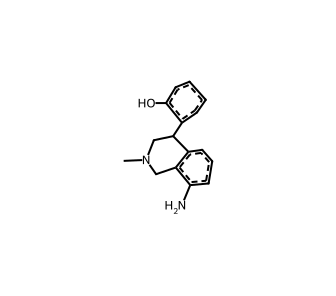 CN1Cc2c(N)cccc2C(c2ccccc2O)C1